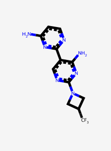 Nc1ccnc(-c2cnc(N3CC(C(F)(F)F)C3)nc2N)n1